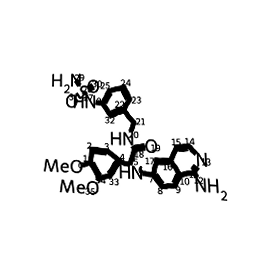 COc1ccc(C(Nc2ccc3c(N)nccc3c2)C(=O)NCc2cccc(NS(N)(=O)=O)c2)cc1OC